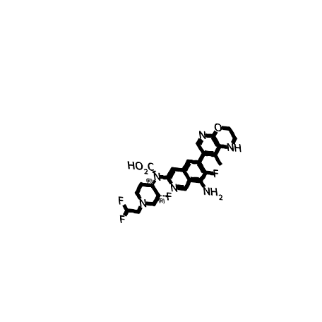 Cc1c(-c2cc3cc(N(C(=O)O)[C@@H]4CCN(CC(F)F)C[C@H]4F)ncc3c(N)c2F)cnc2c1NCCO2